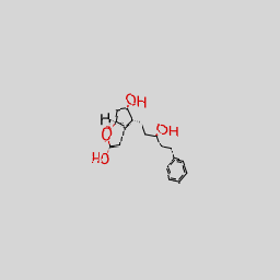 O[C@@H](CCc1ccccc1)CC[C@@H]1C2C[C@H](O)O[C@H]2C[C@H]1O